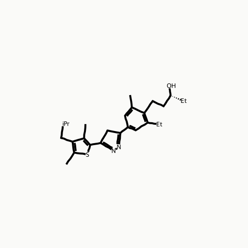 CCc1cc(C2=NN=C(c3sc(C)c(CC(C)C)c3C)C2)cc(C)c1CC[C@H](O)CC